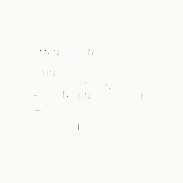 CN/C=C(\C(=N)C(=O)N1CC(F)(F)CC(C)C1CNc1ccc(C(F)(F)F)cn1)c1ccccn1